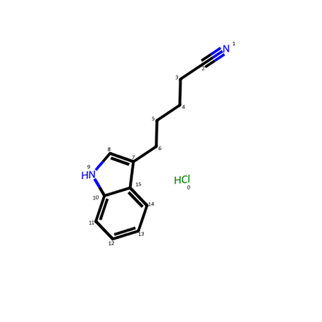 Cl.N#CCCCCc1c[nH]c2ccccc12